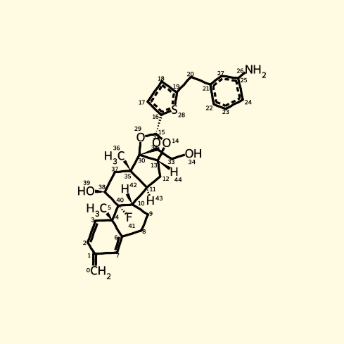 C=C1C=C[C@@]2(C)C(=C1)CC[C@H]1[C@@H]3C[C@H]4O[C@@H](c5ccc(Cc6cccc(N)c6)s5)O[C@@]4(C(=O)CO)[C@@]3(C)C[C@H](O)[C@@]12F